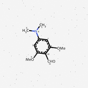 COc1cc(N(C)C)cc(OC)c1C=O